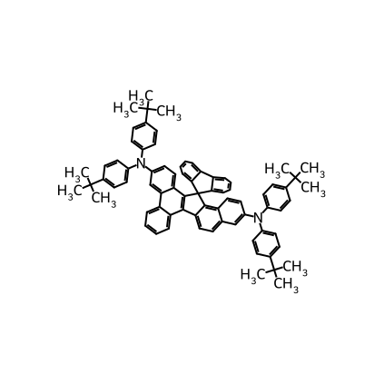 CC(C)(C)c1ccc(N(c2ccc(C(C)(C)C)cc2)c2ccc3c4c(ccc3c2)-c2c(c3ccc(N(c5ccc(C(C)(C)C)cc5)c5ccc(C(C)(C)C)cc5)cc3c3ccccc23)C42c3ccccc3-c3ccccc32)cc1